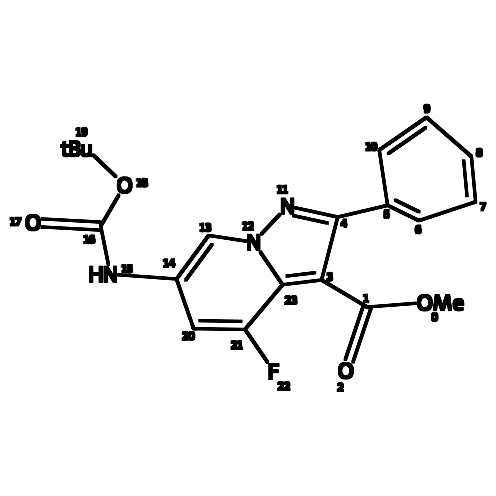 COC(=O)c1c(-c2ccccc2)nn2cc(NC(=O)OC(C)(C)C)cc(F)c12